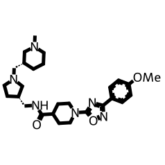 COc1ccc(-c2noc(N3CCC(C(=O)NC[C@@H]4CCN(C[C@H]5CCCN(C)C5)C4)CC3)n2)cc1